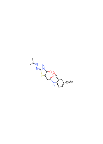 COC1=CC=C(NC(=O)CC2SC(=NN=C(C)C)NC2=O)C(=C=O)C1